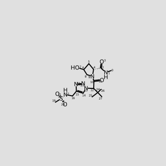 CNC(=O)[C@H]1CC(O)CN1C(=O)C(n1cc(CNS(C)(=O)=O)nn1)C(C)(C)C